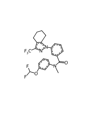 CN(C(=O)c1cccc(-n2nc(C(F)(F)F)c3c2CCCC3)c1)c1cccc(OC(F)F)c1